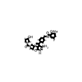 COc1ccc(F)cc1C(=O)NCc1ccc(-c2cn([C@@H]3CCN(C(=O)N4CC[C@@H](O)C4)C3)c3c(=O)[nH]nc(N)c23)cc1